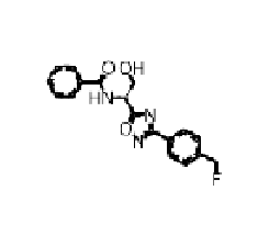 O=C(N[C@@H](CO)c1nc(-c2ccc(CF)cc2)no1)c1ccccc1